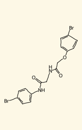 O=C(COc1ccc(Br)cc1)NCC(=O)Nc1ccc(Br)cc1